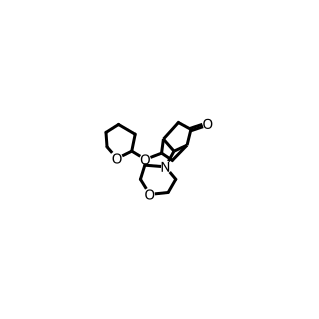 O=C1CC2C(OC3CCCCO3)CC1C2N1CCOCC1